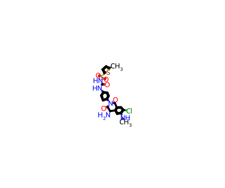 CNc1cc2c(cc1Cl)C(=O)N(c1ccc(NC(=O)NS(=O)(=O)c3ccc(C)s3)cc1)C(=O)C2N